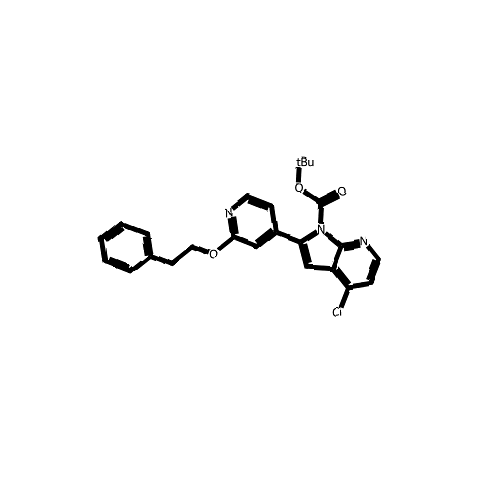 CC(C)(C)OC(=O)n1c(-c2ccnc(OCCc3ccccc3)c2)cc2c(Cl)ccnc21